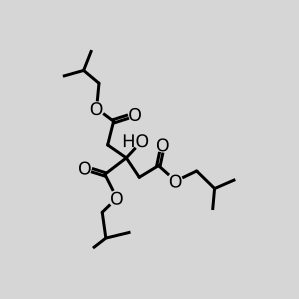 CC(C)COC(=O)CC(O)(CC(=O)OCC(C)C)C(=O)OCC(C)C